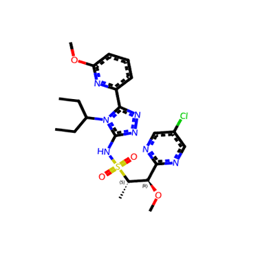 CCC(CC)n1c(NS(=O)(=O)[C@@H](C)[C@H](OC)c2ncc(Cl)cn2)nnc1-c1cccc(OC)n1